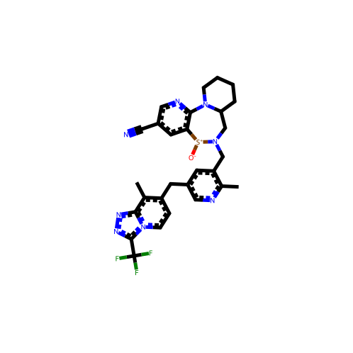 Cc1ncc(Cc2ccn3c(C(F)(F)F)nnc3c2C)cc1CN1CC2CCCCN2c2ncc(C#N)cc2[S+]1[O-]